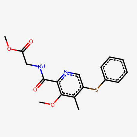 COC(=O)CNC(=O)c1ncc(Sc2ccccc2)c(C)c1OC